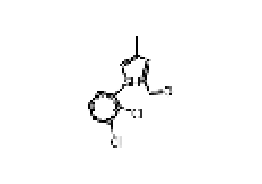 CC1=C[SH](c2cccc(Cl)c2Cl)C(C=O)=C1